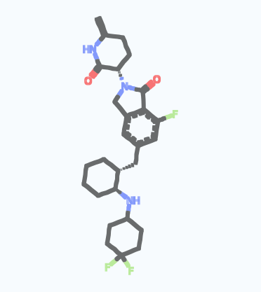 C=C1CC[C@H](N2Cc3cc(C[C@H]4CCCC[C@@H]4NC4CCC(F)(F)CC4)cc(F)c3C2=O)C(=O)N1